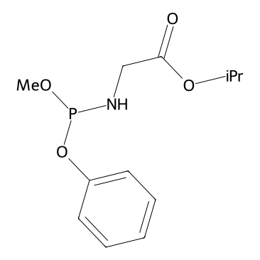 COP(NCC(=O)OC(C)C)Oc1ccccc1